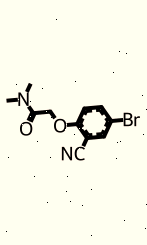 CN(C)C(=O)COc1ccc(Br)cc1C#N